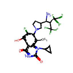 Cc1c(N2CCC(C(N)C(C(F)(F)F)C(F)(F)F)C2)c(F)c(O)c2c(=O)[nH]c(=O)n(C3CC3)c12